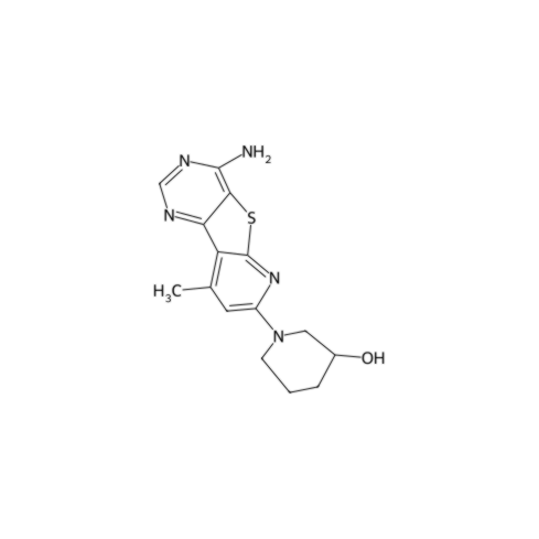 Cc1cc(N2CCCC(O)C2)nc2sc3c(N)ncnc3c12